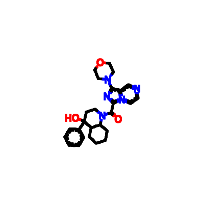 O=C(c1nc(N2CCOCC2)c2cnccn12)N1CCC(O)(c2ccccc2)C2CCCCC21